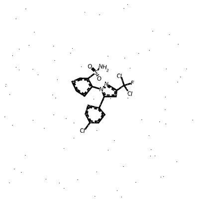 NS(=O)(=O)c1ccccc1-n1nc(C(F)(Cl)Cl)cc1-c1ccc(Cl)cc1